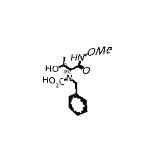 CONC(=O)[C@@H]([C@H](C)O)N(Cc1ccccc1)C(=O)O